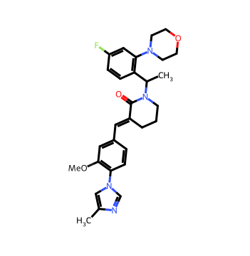 COc1cc(C=C2CCCN(C(C)c3ccc(F)cc3N3CCOCC3)C2=O)ccc1-n1cnc(C)c1